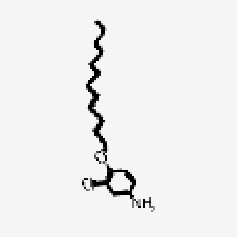 CCCCCCCCCCCCOc1ccc(N)cc1Cl